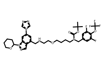 CC(C)(C)OC(=O)N(CCCCOCCNCc1cc(-n2cnnc2)cc2c1cnn2C1CCCCO1)Cc1cc(F)c(OC(F)(F)F)c(F)c1